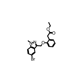 CCOC(=O)Cc1ccccc1OCc1nn(C)c2ccc(Br)cc12